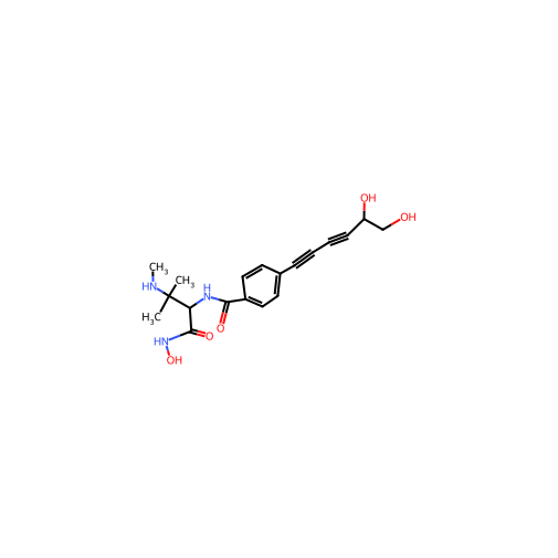 CNC(C)(C)C(NC(=O)c1ccc(C#CC#CC(O)CO)cc1)C(=O)NO